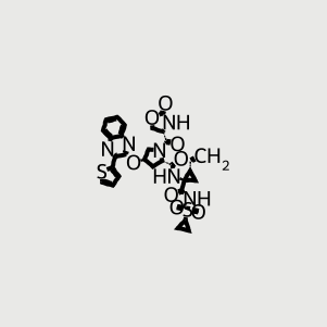 C=C[C@@H]1C[C@]1(NC(=O)[C@@H]1C[C@@H](Oc2nc3ccccc3nc2-c2cccs2)CN1C(=O)[C@@H]1COC(=O)N1)C(=O)NS(=O)(=O)C1CC1